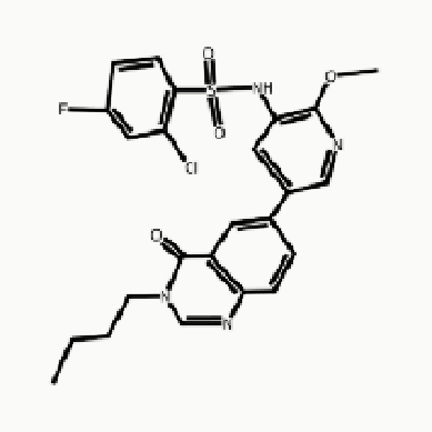 CCCCn1cnc2ccc(-c3cnc(OC)c(NS(=O)(=O)c4ccc(F)cc4Cl)c3)cc2c1=O